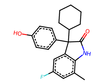 Cc1cc(F)cc2c1NC(=O)C2(c1ccc(O)cc1)C1CCCCC1